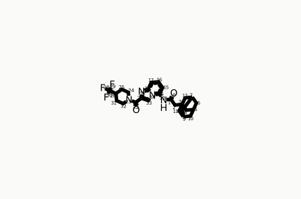 O=C(CC12CC3CC(CC(C3)C1)C2)Nc1cccc2nc(C(=O)N3CCC(C(F)(F)F)CC3)cn12